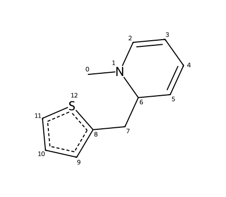 CN1C=CC=CC1Cc1cccs1